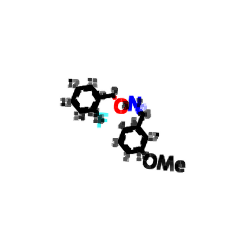 COc1cccc(/[C]=N\OCc2ccccc2F)c1